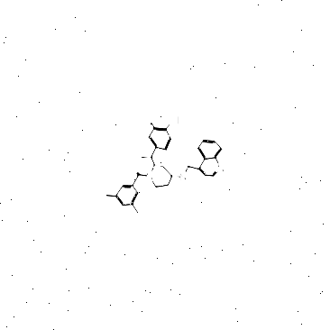 Cc1cc(C)cc(C(=O)N2CC[C@H](NCc3ccnc4ccccc34)C[C@@H]2[C@@H](O)c2ccc(Cl)c(Cl)c2)c1